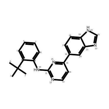 CC(C)(C)c1ccccc1Nc1nccc(-c2ccc3[nH]cnc3c2)n1